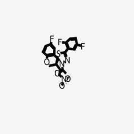 CC(=O)N1N=C(c2cc(F)ccc2F)SC12c1cc(F)ccc1OCC2CC[N+](=O)[O-]